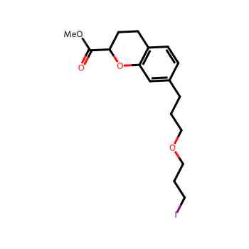 COC(=O)C1CCc2ccc(CCCOCCCI)cc2O1